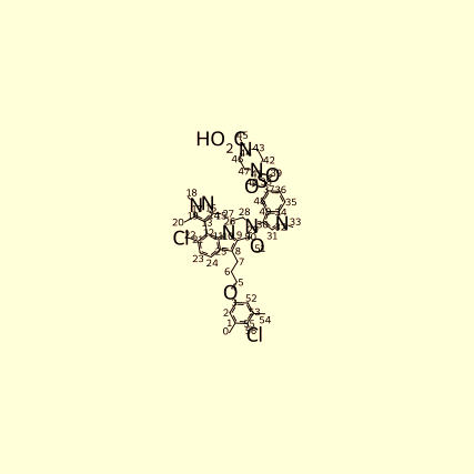 Cc1cc(OCCCc2c3n(c4c(-c5c(C)nn(C)c5C)c(Cl)ccc24)[C@H](C)CN(c2cn(C)c4ccc(S(=O)(=O)N5CCN(C(=O)O)CC5)cc24)C3=O)cc(C)c1Cl